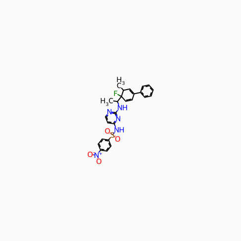 CC1C=C(c2ccccc2)C=CC1(F)C(C)Nc1nccc(NS(=O)(=O)c2ccc([N+](=O)[O-])cc2)n1